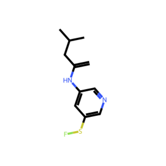 C=C(CC(C)C)Nc1cncc(SF)c1